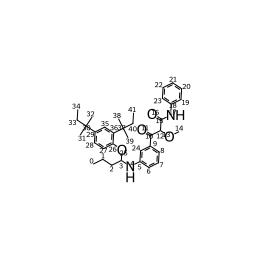 CCCC(Nc1cccc(C(=O)C(OC)C(=O)Nc2ccccc2)c1)Oc1ccc(C(C)(C)CC)cc1C(C)(C)CC